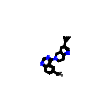 Cc1ccc2ncnc(N3CCc4ncc(C5CC5)cc4C3)c2c1